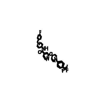 O=C(NC1CCN(Cc2ccc(F)cc2)CC1)c1ccnc(OC2CCN(c3ccc(C(F)(F)I)cc3)CC2)c1